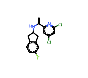 C=C(NC1Cc2ccc(F)cc2C1)c1cc(Cl)cc(Cl)n1